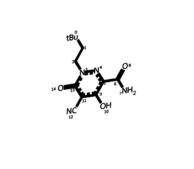 CC(C)(C)CCn1nc(C(N)=O)c(O)c(C#N)c1=O